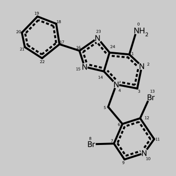 Nc1ncn(Cc2c(Br)cncc2Br)c2nc(-c3ccccc3)nc1-2